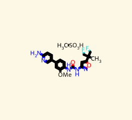 COc1cc(-c2ccc(N)nc2)ccc1NC(=O)Nc1cc(C(C)(CF)CF)on1.CS(=O)(=O)O